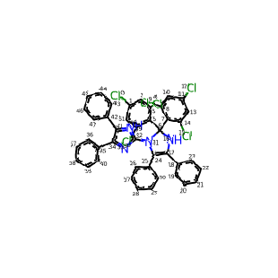 Clc1cc(Cl)c(C2(c3c(Cl)cc(Cl)cc3Cl)NC(c3ccccc3)=C(c3ccccc3)N2c2nc(-c3ccccc3)c(-c3ccccc3)[nH]2)c(Cl)c1